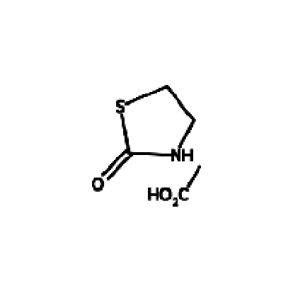 CC(=O)O.O=C1NCCS1